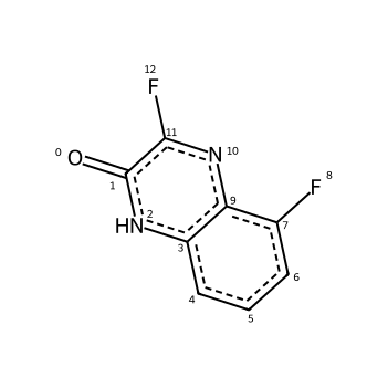 O=c1[nH]c2cccc(F)c2nc1F